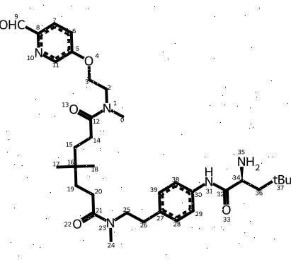 CN(CCOc1ccc(C=O)nc1)C(=O)CCC(C)(C)CCC(=O)N(C)CCc1ccc(NC(=O)[C@@H](N)CC(C)(C)C)cc1